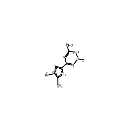 Cc1sc(C2=N[S+]([O-])NC(C=O)=C2)cc1Br